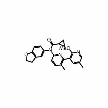 COc1ncc(C)cc1-c1nc(N(C(=O)C2CC2)c2ccc3c(c2)CCO3)ccc1C